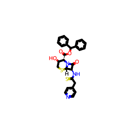 O=C(OC(c1ccccc1)c1ccccc1)[C@H]1C(O)CS[C@H]2[C@H](NC(=S)Cc3ccncc3)C(=O)N12